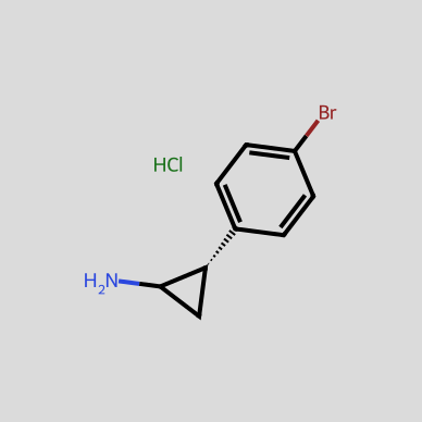 Cl.NC1C[C@H]1c1ccc(Br)cc1